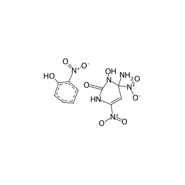 NC1([N+](=O)[O-])C=C([N+](=O)[O-])NC(=O)N1O.O=[N+]([O-])c1ccccc1O